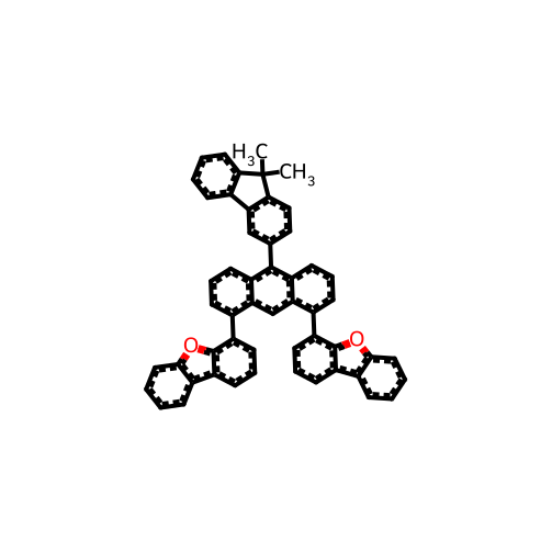 CC1(C)c2ccccc2-c2cc(-c3c4cccc(-c5cccc6c5oc5ccccc56)c4cc4c(-c5cccc6c5oc5ccccc56)cccc34)ccc21